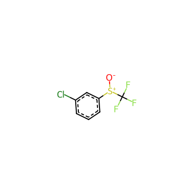 [O-][S+](c1cccc(Cl)c1)C(F)(F)F